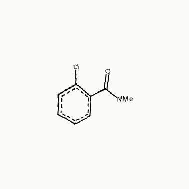 CNC(=O)c1[c]cccc1Cl